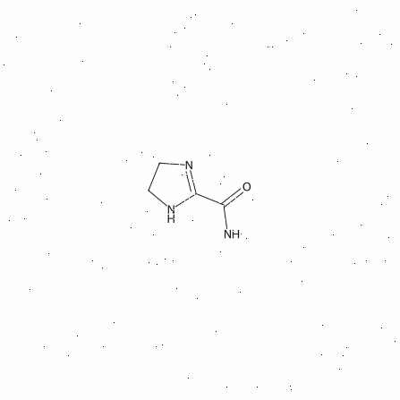 [NH]C(=O)C1=NCCN1